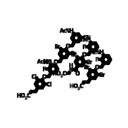 CC(=O)Nc1cc(C#N)cc(COc2c(Br)cc(CC(=O)O)cc2Br)c1.CC(=O)Nc1cccc(COc2c(Br)cc(C(=O)NCC(=O)O)cc2Br)c1F.CC(=O)Nc1cccc(COc2c(Br)cc(CCC(=O)O)cc2Br)c1F.CC(=O)Nc1cccc(COc2c(Cl)cc(CCC(=O)O)cc2Cl)c1F